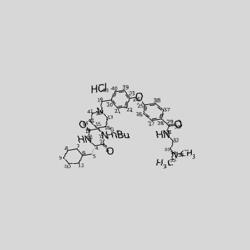 CCCCN1C(=O)[C@H](CC2CCCCC2)NC(=O)C12CCN(Cc1ccc(Oc3ccc(C(=O)NCCN(C)C)cc3)cc1)CC2.Cl